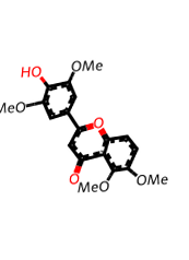 COc1cc(-c2cc(=O)c3c(OC)c(OC)ccc3o2)cc(OC)c1O